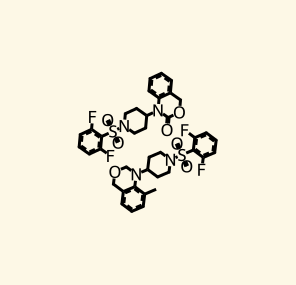 Cc1cccc2c1N(C1CCN(S(=O)(=O)c3c(F)cccc3F)CC1)COC2.O=C1OCc2ccccc2N1C1CCN(S(=O)(=O)c2c(F)cccc2F)CC1